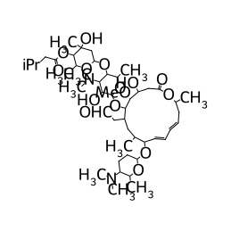 COC1C(O)CC(=O)OC(C)C/C=C/C=C/C(OC2CCC(N(C)C)C(C)O2)C(C)CC(CC=O)C1OC1OC(C)C(OC2CC(C)(O)C(OC(=O)CC(C)C)C(C)O2)C(N(C)C)C1O